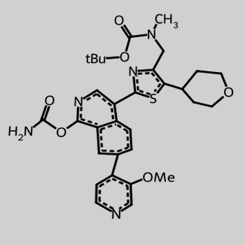 COc1cnccc1-c1ccc2c(-c3nc(CN(C)C(=O)OC(C)(C)C)c(C4CCOCC4)s3)cnc(OC(N)=O)c2c1